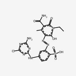 CCn1c(O)c(N=Nc2cc(Nc3nc(N)nc(Cl)n3)ccc2S(=O)(=O)O)c(C)c(C(N)=O)c1=O